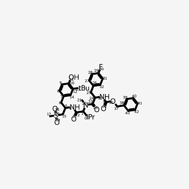 CC(C)C(C(=O)NC(Cc1ccc(O)c(C(C)(C)C)c1)CS(C)(=O)=O)N(C)C(=O)C(Cc1ccc(F)cc1)NC(=O)OCc1ccccc1